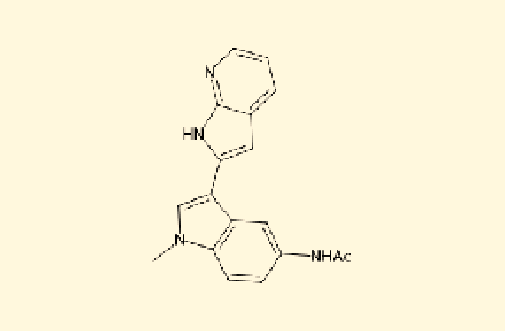 CC(=O)Nc1ccc2c(c1)c(-c1cc3cccnc3[nH]1)cn2C